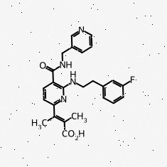 CC(C(=O)O)=C(C)c1ccc(C(=O)NCc2cccnc2)c(NCCc2cccc(F)c2)n1